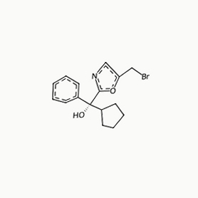 O[C@](c1ccccc1)(c1ncc(CBr)o1)C1CCCC1